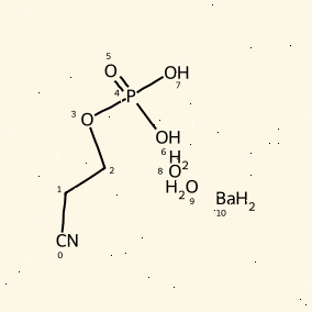 N#CCCOP(=O)(O)O.O.O.[BaH2]